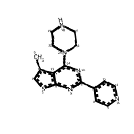 Cc1csc2nc(-c3ccncc3)nc(N3CCNCC3)c12